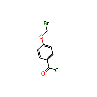 O=C(Cl)c1ccc(OCBr)cc1